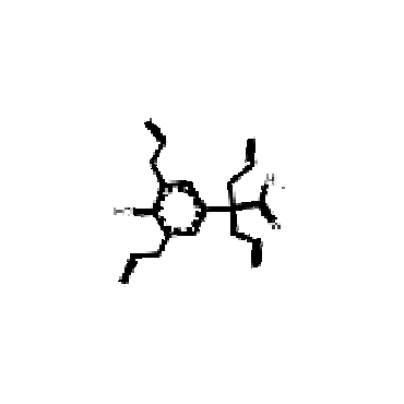 C=CCc1cc(C(CC=C)(CC=C)C(N)=O)cc(CC=C)c1O